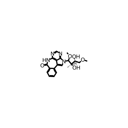 COC[C@@H](O)[C@@](C)(O)C(OC)n1cc2c3c(ncnc31)NC(=O)c1ccccc1-2